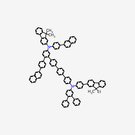 CCC1(C)c2ccccc2-c2ccc(-c3ccc(N(c4ccc(-c5ccc(-c6ccc(-c7cc(N(c8ccc(-c9ccc%10ccccc%10c9)cc8)c8ccc9c(c8)C(C)(C)c8ccccc8-9)ccc7-c7ccc(-c8ccc9ccccc9c8)cc7)cc6)cc5)cc4)c4ccc(-c5ccccc5)c(-c5ccccc5)c4)cc3)cc21